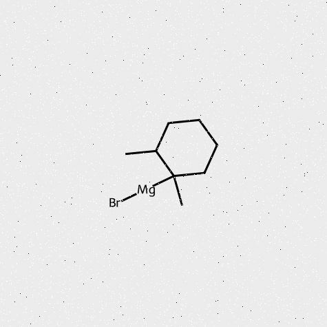 CC1CCCC[C]1(C)[Mg][Br]